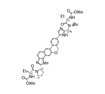 CC[C@H](NC(=O)OC)C(=O)N([C@@H](C)CC)[C@@H](C)c1ncc(-c2ccc3c(c2)COc2cc4c(ccc5nc([C@@H]6CC[C@H](C)N6C(=O)[C@H](CC)NC(=O)OC)[nH]c54)cc2-3)[nH]1